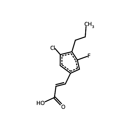 CCCc1c(F)cc(/C=C/C(=O)O)cc1Cl